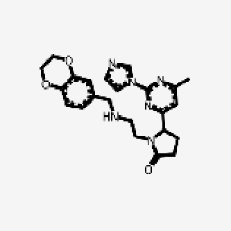 Cc1cc(C2CCC(=O)N2CCNCc2ccc3c(c2)OCCO3)nc(-n2ccnc2)n1